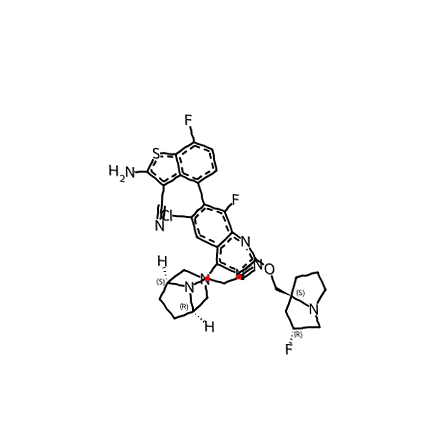 N#CCCN1[C@@H]2CC[C@H]1CN(c1nc(OC[C@@]34CCCN3C[C@H](F)C4)nc3c(F)c(-c4ccc(F)c5sc(N)c(C#N)c45)c(Cl)cc13)C2